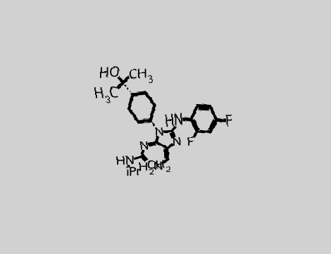 C=C(/N=C1\C(=C/N)N=C(Nc2ccc(F)cc2F)N1[C@H]1CC[C@@H](C(C)(C)O)CC1)NC(C)C